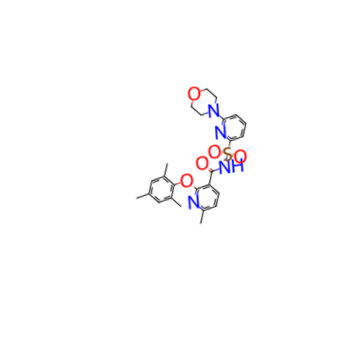 Cc1cc(C)c(Oc2nc(C)ccc2C(=O)NS(=O)(=O)c2cccc(N3CCOCC3)n2)c(C)c1